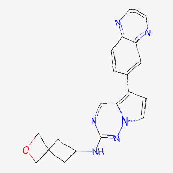 c1cnc2cc(-c3ccn4nc(NC5CC6(COC6)C5)ncc34)ccc2n1